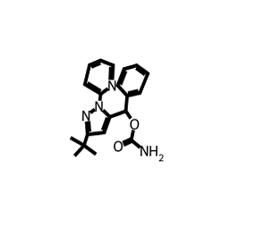 CC(C)(C)c1cc(C(OC(N)=O)c2ccccc2)n(-c2ccccn2)n1